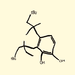 CC(C)(C)CC(C)(C)c1ccc(O)c(O)c1C(C)(C)CC(C)(C)C